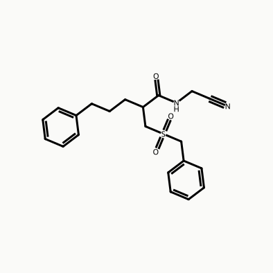 N#CCNC(=O)C(CCCc1ccccc1)CS(=O)(=O)Cc1ccccc1